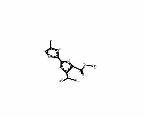 Cc1cnc(-c2nc(C(=O)OC(C)C)c(C(F)C(C)C)s2)s1